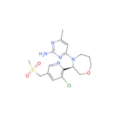 Cc1cc(N2CCCOC[C@H]2c2ncc(CS(C)(=O)=O)cc2Cl)nc(N)n1